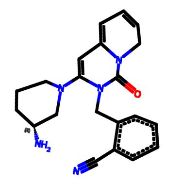 N#Cc1ccccc1CN1C(=O)N2CC=CC=C2C=C1N1CCC[C@@H](N)C1